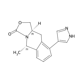 C[C@H]1c2cccc(-c3cn[nH]c3)c2C[C@@H]2COC(=O)N21